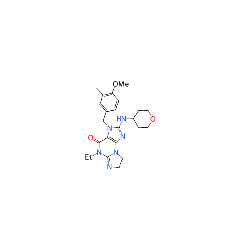 CCN1C(=O)c2c(nc(NC3CCOCC3)n2Cc2ccc(OC)c(C)c2)N2CCN=C12